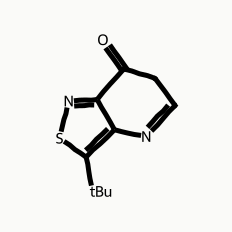 CC(C)(C)c1snc2c1N=CCC2=O